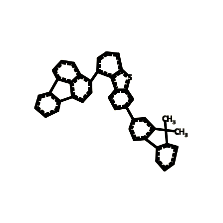 CC1(C)c2ccccc2-c2ccc(-c3ccc4c(c3)sc3cccc(-c5ccc6c7c(cccc57)-c5ccccc5-6)c34)cc21